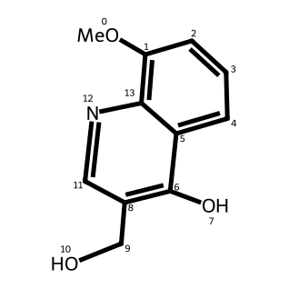 COc1cccc2c(O)c(CO)cnc12